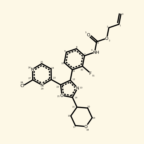 C=CCOC(=O)Nc1cccc(-c2nc(C3CCOCC3)oc2-c2ccnc(Cl)n2)c1F